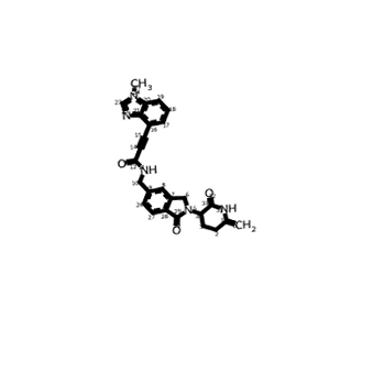 C=C1CCC(N2Cc3cc(CNC(=O)C#Cc4cccc5c4ncn5C)ccc3C2=O)C(=O)N1